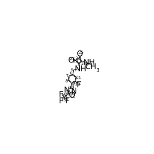 CNc1c(NCc2ccc(-c3noc(C(F)(F)F)n3)c(F)c2)c(=O)c1=O